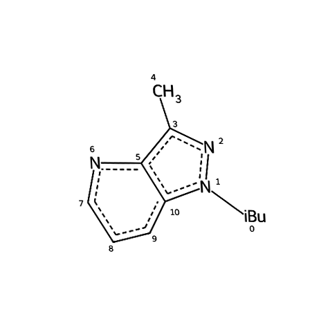 CCC(C)n1nc(C)c2ncccc21